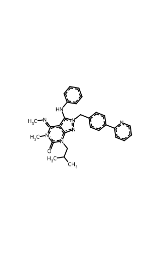 CN=c1c2c(Nc3ccccc3)n(Cc3ccc(-c4ccccn4)cc3)nc2n(CC(C)C)c(=O)n1C